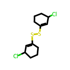 ClC1C=C(SSC2=CC(Cl)CCC2)CCC1